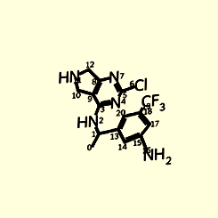 CC(Nc1nc(Cl)nc2c1CNC2)c1cc(N)cc(C(F)(F)F)c1